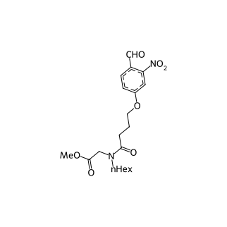 CCCCCCN(CC(=O)OC)C(=O)CCCOc1ccc(C=O)c([N+](=O)[O-])c1